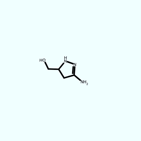 NC1=NNC(CO)C1